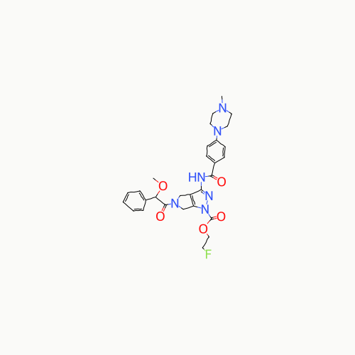 COC(C(=O)N1Cc2c(NC(=O)c3ccc(N4CCN(C)CC4)cc3)nn(C(=O)OCCF)c2C1)c1ccccc1